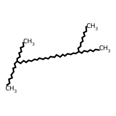 CCCCCCCCCCC(CCCCCCCC)CCCCCCCCCCCCCCCCCCCCCC(CCCCCCCC)CCCCCCCCCC